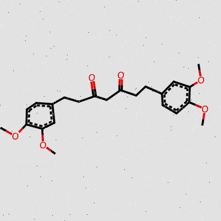 COc1ccc(CCC(=O)CC(=O)CCc2ccc(OC)c(OC)c2)cc1OC